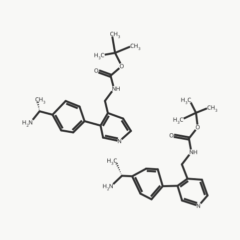 C[C@@H](N)c1ccc(-c2cnccc2CNC(=O)OC(C)(C)C)cc1.C[C@@H](N)c1ccc(-c2cnccc2CNC(=O)OC(C)(C)C)cc1